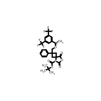 C[C@@H](OCC1(c2ccccc2)CC2(C1)C(=O)OC(=O)N2C(=O)OC(C)(C)C)c1cc(C(F)(F)F)cc(C(F)(F)F)c1